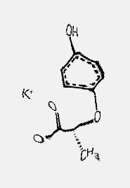 C[C@@H](Oc1ccc(O)cc1)C(=O)[O-].[K+]